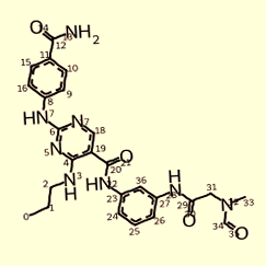 CCCNc1nc(Nc2ccc(C(N)=O)cc2)ncc1C(=O)Nc1cccc(NC(=O)CN(C)C=O)c1